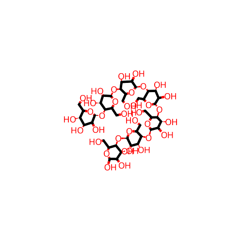 OCC1O[C@H](O[C@@H]2C(CO)O[C@H](O[C@@H]3C(CO)O[C@H](O[C@@H]4C(CO)O[C@H](O[C@@H]5C(CO)O[C@H](O[C@@H]6C(CO)O[C@H](O[C@@H]7C(CO)OC(O)C(O)[C@H]7O)C(O)[C@H]6O)C(O)[C@H]5O)C(O)[C@H]4O)C(O)[C@H]3O)C(O)[C@H]2O)C(O)[C@@H](O)[C@@H]1O